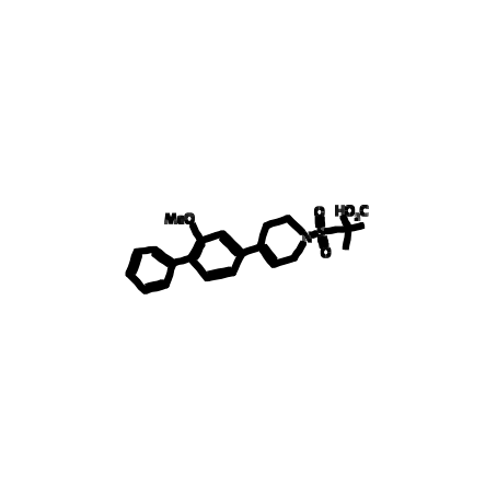 COc1cc(C2=CCN(S(=O)(=O)C(C)(C)C(=O)O)CC2)ccc1-c1ccccc1